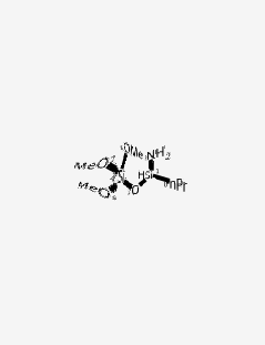 CCC[SiH](N)O[Si](OC)(OC)OC